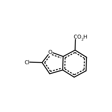 O=C(O)c1cccc2cc(Cl)oc12